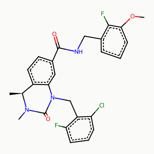 COc1cccc(CNC(=O)c2ccc3c(c2)N(Cc2c(F)cccc2Cl)C(=O)N(C)[C@H]3C)c1F